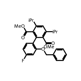 COC(=O)c1c(C(C)C)cc(C(C)C)c(C(=O)OC)c1-c1ccc(F)cc1OCc1ccccc1